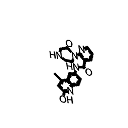 Cc1cc(O)nc2ccc(NC(=O)c3cccnc3N3CCNCC3=O)cc12